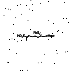 CCCCCCCCCCCCC=C(C)C(=O)O.[PbH2]